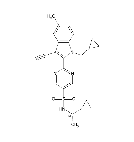 Cc1ccc2c(c1)c(C#N)c(-c1ncc(S(=O)(=O)N[C@@H](C)C3CC3)cn1)n2CC1CC1